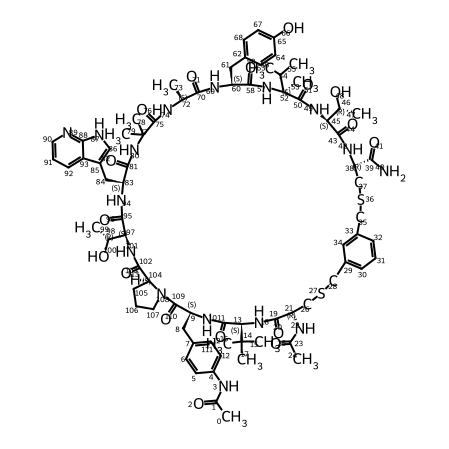 CC(=O)Nc1ccc(C[C@@H]2NC(=O)[C@H](C(C)(C)C)NC(=O)[C@@H](NC(C)=O)CSCc3cccc(c3)CSC[C@@H](C(N)=O)NC(=O)[C@H]([C@@H](C)O)NC(=O)[C@](C)(C(C)C)NC(=O)[C@H](Cc3ccc(O)cc3)NC(=O)[C@H](C)NC(=O)C(C)(C)NC(=O)[C@H](Cc3c[nH]c4ncccc34)NC(=O)[C@H]([C@@H](C)O)NC(=O)[C@@H]3CCCN3C2=O)cc1